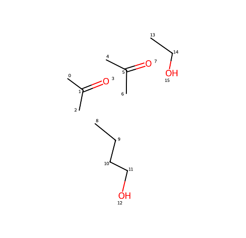 CC(C)=O.CC(C)=O.CCCCO.CCO